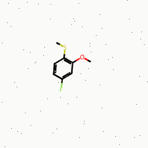 COc1cc(F)ccc1SC